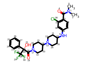 CN(C)C(=O)c1ccc(NC2CCN(C3CCN(C(=O)[C@](O)(c4ccccc4)C(F)(F)F)CC3)CC2)cc1Cl